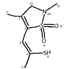 CC1=C(/C=C(/C)S)S(=O)(=O)N(C)C1